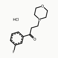 Cl.O=C(CCN1CCOCC1)c1cccc(F)c1